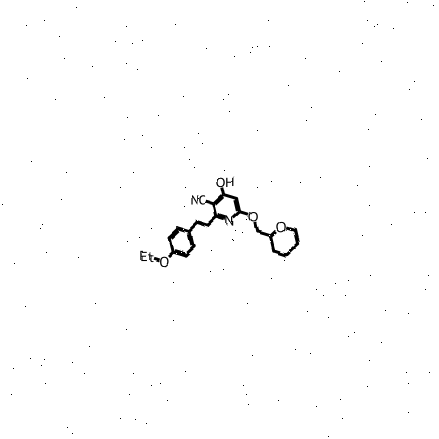 CCOc1ccc(CCc2nc(OCC3CCCCO3)cc(O)c2C#N)cc1